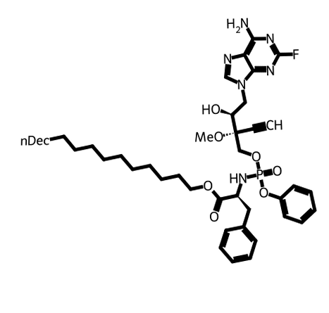 C#C[C@](COP(=O)(N[C@@H](Cc1ccccc1)C(=O)OCCCCCCCCCCCCCCCCCCCC)Oc1ccccc1)(OC)[C@@H](O)Cn1cnc2c(N)nc(F)nc21